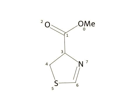 COC(=O)C1CSC=N1